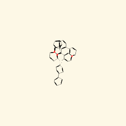 c1ccc(-c2ccc(N(c3ccccc3-c3cccc4cccc(-c5ccccc5)c34)c3cccc4c3sc3ccccc34)cc2)cc1